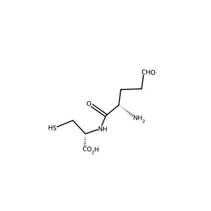 N[C@@H](CC[C]=O)C(=O)N[C@@H](CS)C(=O)O